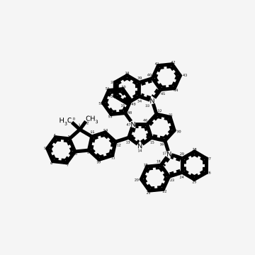 CC1(C)c2ccccc2-c2ccc(-c3nc4c(-n5c6ccccc6c6ccccc65)ccc(-n5c6ccccc6c6ccccc65)c4n3-c3ccccc3)cc21